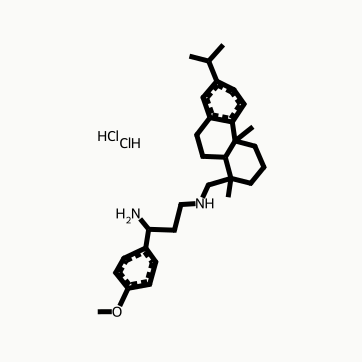 COc1ccc(C(N)CCNCC2(C)CCCC3(C)c4ccc(C(C)C)cc4CCC23)cc1.Cl.Cl